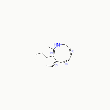 C/C=C1/C=C\C=C/CN\C(C)=C/1CCC